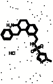 Cl.Cn1cc(S(=O)(=O)NCc2ccc3c(c2)C(Cc2ccccc2)C(N)CC3)cn1